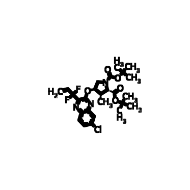 C=CC(F)(F)c1nc2ccc(Cl)cc2nc1O[C@H]1CN(C(=O)OC(C)(C)C)[C@H](C(=O)OC(C)(C)C)[C@@H]1C